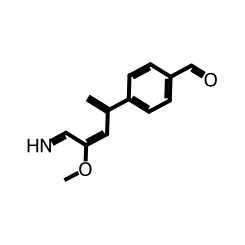 C=C(/C=C(\C=N)OC)c1ccc(C=O)cc1